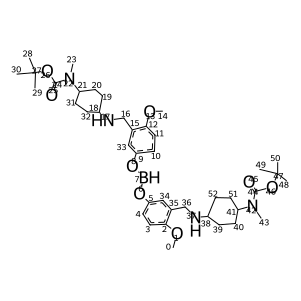 COc1ccc(OBOc2ccc(OC)c(CNC3CCC(N(C)C(=O)OC(C)(C)C)CC3)c2)cc1CNC1CCC(N(C)C(=O)OC(C)(C)C)CC1